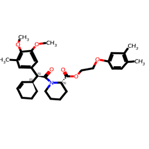 COc1cc([C@@H](C(=O)N2CCCC[C@H]2C(=O)OCCOc2ccc(C)c(C)c2)[C@@H]2C=CCCC2)cc(C)c1OC